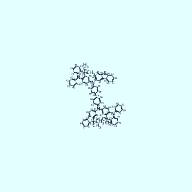 CC1(C)c2ccccc2-c2ccc(N(c3ccc(-c4ccc(N(c5ccc6c(c5)C(C)(C)c5ccccc5N6c5ccccc5)c5ccc6sc7ccccc7c6c5)cc4)cc3)c3ccc4c(c3)C(C)(C)c3ccccc3N4c3ccccc3)cc21